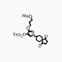 CCOC(=O)c1cn(C2CCC3(CC2)C(=O)CCC3=O)nc1OCCCOC